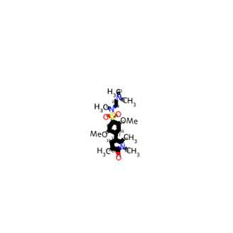 COc1cc(S(=O)(=O)N(C)CCN(C)C)c(OC)cc1-c1cc(C)c(=O)n(C)c1C